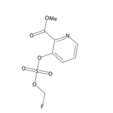 COC(=O)c1ncccc1OS(=O)(=O)OCF